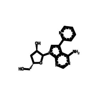 Nc1ncnc2c1c(-c1ccccn1)cn2C1O[C@H](CO)C[C@H]1O